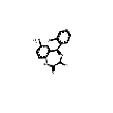 CCC1N=C(c2ccccc2F)c2cc([N+](=O)[O-])ccc2NC1=S